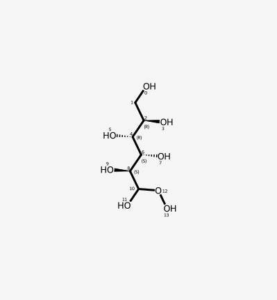 OC[C@@H](O)[C@@H](O)[C@H](O)[C@H](O)C(O)OO